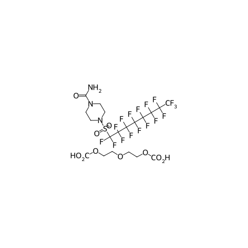 NC(=O)N1CCN(S(=O)(=O)C(F)(F)C(F)(F)C(F)(F)C(F)(F)C(F)(F)C(F)(F)C(F)(F)C(F)(F)F)CC1.O=C(O)OCCOCCOC(=O)O